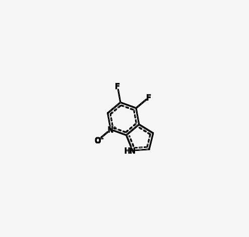 [O-][n+]1cc(F)c(F)c2cc[nH]c21